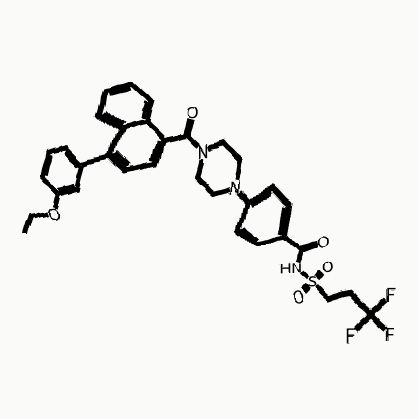 CCOc1cccc(-c2ccc(C(=O)N3CCN(c4ccc(C(=O)NS(=O)(=O)CCC(F)(F)F)cc4)CC3)c3ccccc23)c1